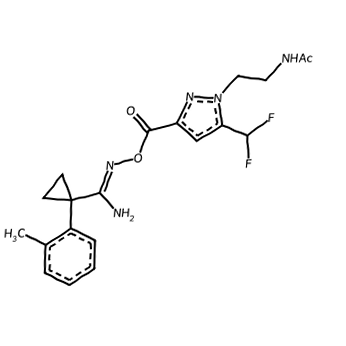 CC(=O)NCCn1nc(C(=O)O/N=C(\N)C2(c3ccccc3C)CC2)cc1C(F)F